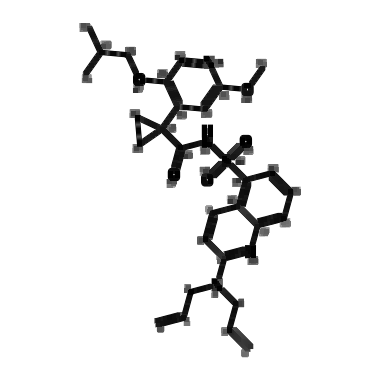 C=CCN(CC=C)c1ccc2c(S(=O)(=O)NC(=O)C3(c4cc(OC)ncc4OCC(C)C)CC3)cccc2n1